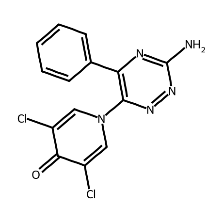 Nc1nnc(-n2cc(Cl)c(=O)c(Cl)c2)c(-c2ccccc2)n1